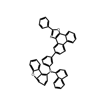 c1ccc(-c2nc3c4cc(-c5cccc(N(c6cccc7ccccc67)c6cccc7oc8ccccc8c67)c5)ccc4c4ccccc4c3o2)cc1